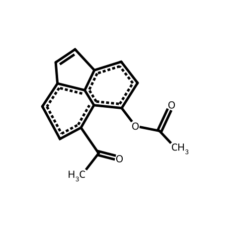 CC(=O)Oc1ccc2c3c(ccc(C(C)=O)c13)C=C2